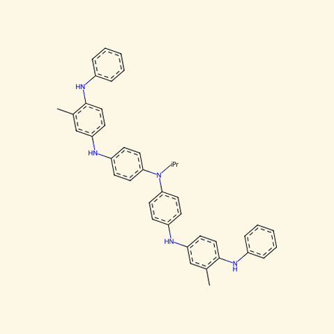 Cc1cc(Nc2ccc(N(c3ccc(Nc4ccc(Nc5ccccc5)c(C)c4)cc3)C(C)C)cc2)ccc1Nc1ccccc1